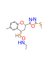 CCNO[SH]=C1CC(c2nnc(SC)o2)Oc2ccc(C)cc21